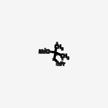 CCCCC(C)(C)OC